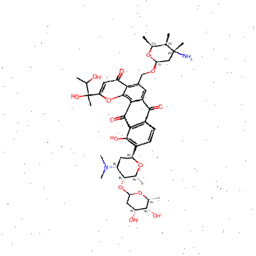 CC(O)C(C)(O)c1cc(=O)c2c(CO[C@@H]3C[C@@](C)(N)[C@H](C)[C@H](C)O3)cc3c(c2o1)C(=O)c1c(ccc([C@@H]2C[C@@H](N(C)C)[C@@H](OC4C[C@@H](O)[C@@H](O)[C@@H](C)O4)[C@@H](C)O2)c1O)C3=O